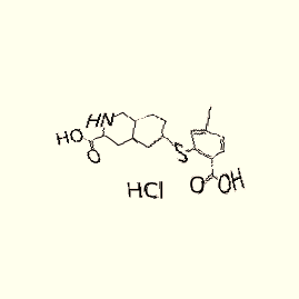 Cc1ccc(C(=O)O)c(SC2CCC3CNC(C(=O)O)CC3C2)c1.Cl